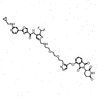 O=C1CCC(N2C(=O)c3cccc(OCc4cnnn4CCOCCOCCNCn4cc(NC(=O)c5coc(-c6ccnc(NCC7CC7)c6)n5)c(C(F)F)n4)c3C2=O)C(=O)N1